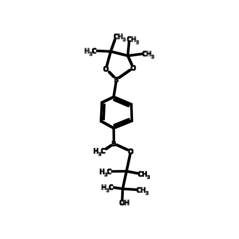 CB(OC(C)(C)C(C)(C)O)c1ccc(B2OC(C)(C)C(C)(C)O2)cc1